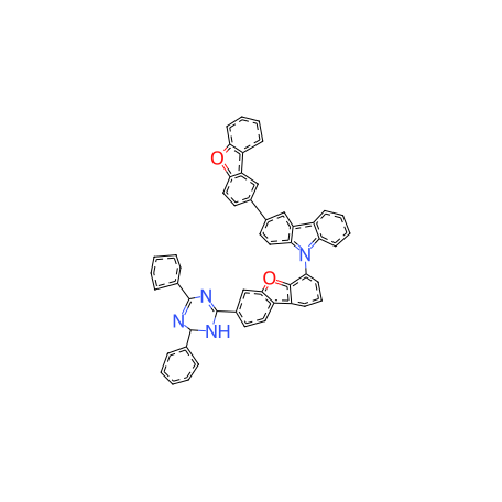 c1ccc(C2=NC(c3ccccc3)NC(c3ccc4c(c3)oc3c(-n5c6ccccc6c6cc(-c7ccc8oc9ccccc9c8c7)ccc65)cccc34)=N2)cc1